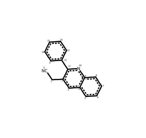 N#CCc1[c]c2ccccc2nc1-c1ccccc1